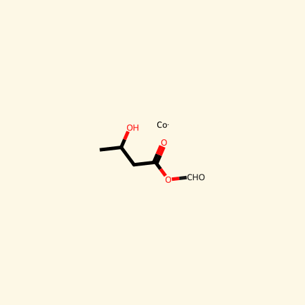 CC(O)CC(=O)OC=O.[Co]